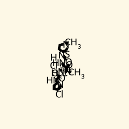 CN1CCCc2nc(C(=O)N[C@@H](CNC(=O)C(=O)Nc3ccc(Cl)cn3)C(=O)N(C)C)sc2C1.Cl